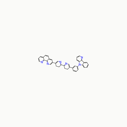 C1=C(c2cccc(-n3c4ccccc4c4ncccc43)c2)CCC(C2=NC=C(c3cnc4c(ccc5cccnc54)c3)CC2)=N1